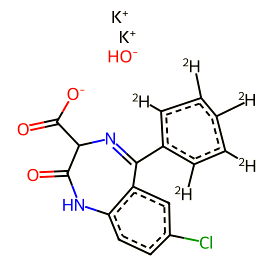 [2H]c1c([2H])c([2H])c(C2=NC(C(=O)[O-])C(=O)Nc3ccc(Cl)cc32)c([2H])c1[2H].[K+].[K+].[OH-]